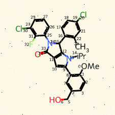 COc1ccc(CO)cc1-c1cc2c(n1C(C)C)C(c1ccc(Cl)cc1C)N(c1cccc(Cl)c1F)C2=O